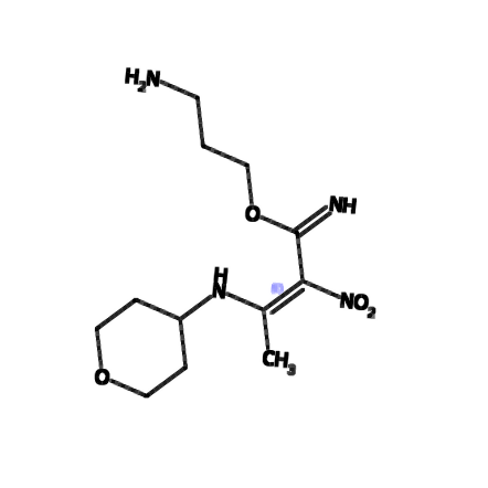 C/C(NC1CCOCC1)=C(/C(=N)OCCCN)[N+](=O)[O-]